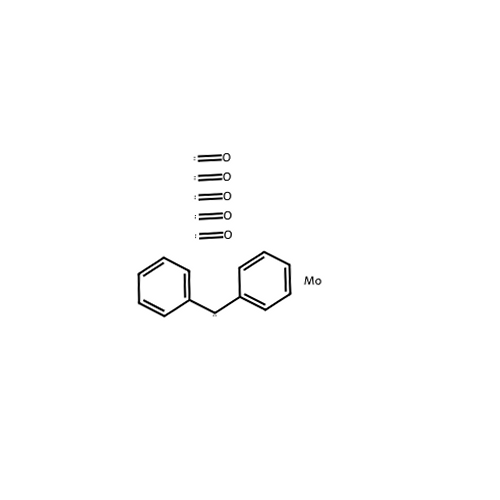 [C](c1ccccc1)c1ccccc1.[C]=O.[C]=O.[C]=O.[C]=O.[C]=O.[Mo]